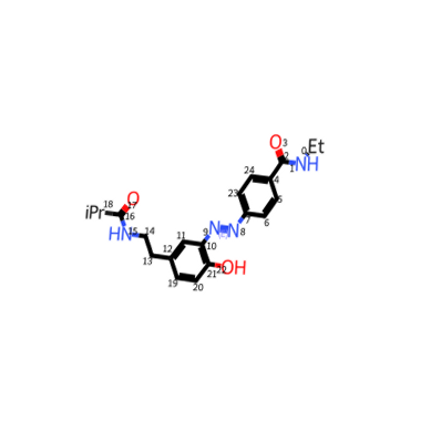 CCNC(=O)c1ccc(/N=N/c2cc(CCNC(=O)C(C)C)ccc2O)cc1